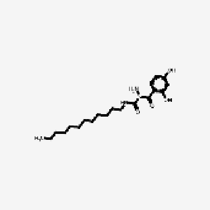 CCCCCCCCCCCCNC(=O)N(N)C(=O)c1ccc(O)cc1O